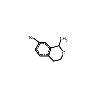 CC1OCCc2ccc(Br)cc21